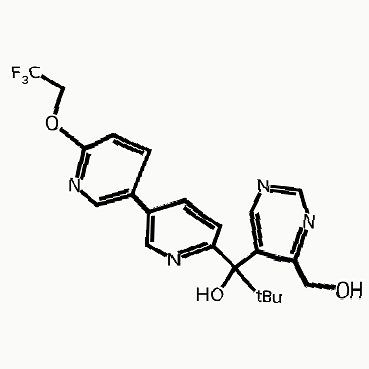 CC(C)(C)C(O)(c1ccc(-c2ccc(OCC(F)(F)F)nc2)cn1)c1cncnc1CO